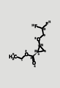 CCOC(=O)[C@H]1C[C@@H]1OCC(F)F